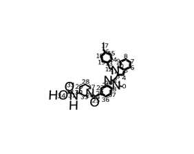 Cn1c(-c2cc3ccccc3n2Cc2ccc(I)cc2)nc2cc(C(=O)N3CCCC(NC(=O)O)C3)ccc21